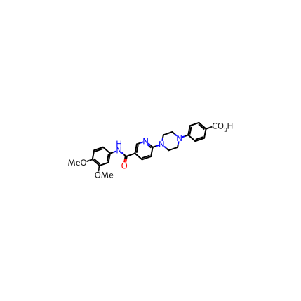 COc1ccc(NC(=O)c2ccc(N3CCN(c4ccc(C(=O)O)cc4)CC3)nc2)cc1OC